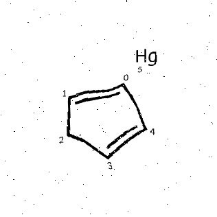 C1=CCC=C1.[Hg]